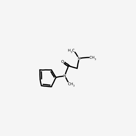 CN(C)CC(=O)N(C)c1[c]cccc1